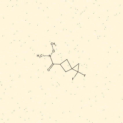 CON(C)C(=O)C1CC2(C1)CC2(F)F